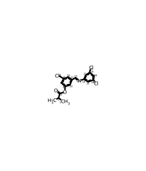 CC(C)C(=O)Oc1cc(Cl)cc(C=Nc2cc(Cl)cc(Cl)c2)c1